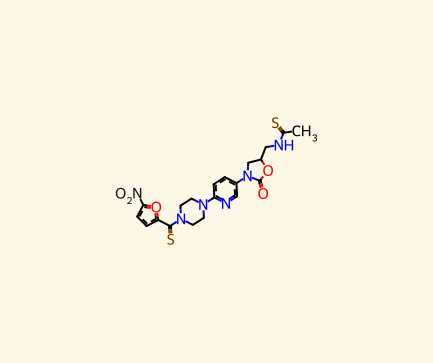 CC(=S)NCC1CN(c2ccc(N3CCN(C(=S)c4ccc([N+](=O)[O-])o4)CC3)nc2)C(=O)O1